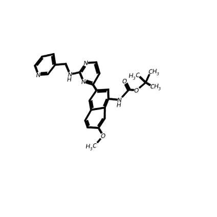 COc1ccc2cc(-c3ccnc(NCc4cccnc4)n3)cc(NC(=O)OC(C)(C)C)c2c1